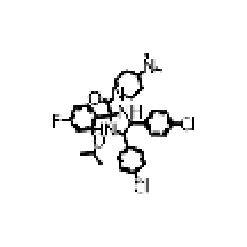 CC(C)Oc1cc(F)ccc1C1(C(=O)N2CCC(N(C)C)CC2)NC(c2ccc(Cl)cc2)C(c2ccc(Cl)cc2)N1